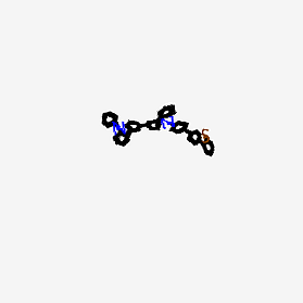 c1ccc(-n2c3ccccc3c3cc(-c4ccc5c(c4)c4ccccc4n5-c4ccc(-c5ccc6c(c5)sc5ccccc56)cc4)ccc32)cc1